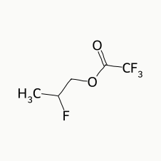 CC(F)COC(=O)C(F)(F)F